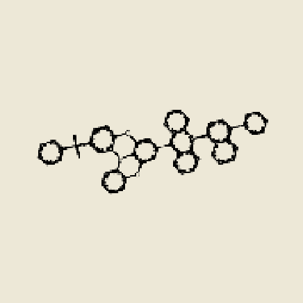 CC(C)(c1ccccc1)c1ccc2c(c1)B1c3ccccc3Oc3cc(-c4c5ccccc5c(-c5ccc(-c6ccccc6)c6ccccc56)c5ccccc45)cc(c31)O2